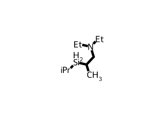 CCN(CC)CC(C)[SiH2]C(C)C